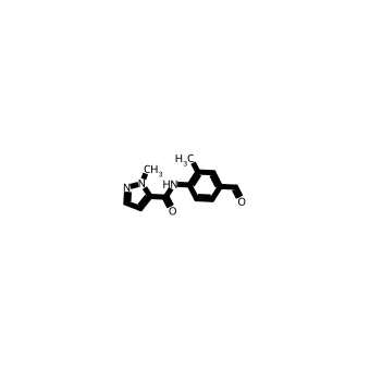 Cc1cc(C=O)ccc1NC(=O)c1ccnn1C